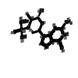 CC[C@H](OC(C)n1cnc2c(=O)[nH]c(N)nc21)C(C)OP(O)(=S)OC